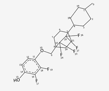 CC1CCC(C23CCC(COc4ccc(O)c(F)c4F)(CC2)C(F)(F)C3(F)F)CC1